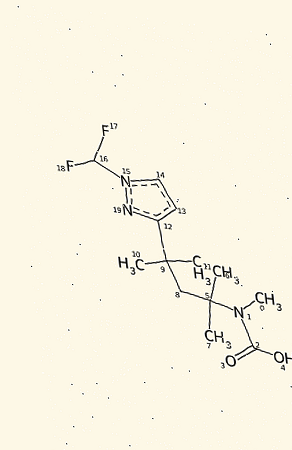 CN(C(=O)O)C(C)(C)CC(C)(C)c1ccn(C(F)F)n1